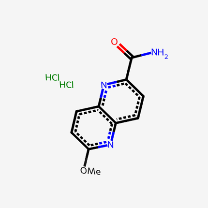 COc1ccc2nc(C(N)=O)ccc2n1.Cl.Cl